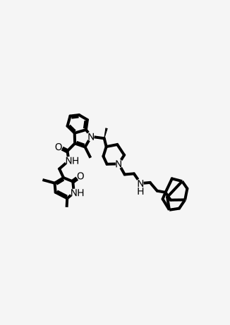 Cc1cc(C)c(CNC(=O)c2c(C)n([C@@H](C)C3CCN(CCNCCC45CC6CC(CC(C6)C4)C5)CC3)c3ccccc23)c(=O)[nH]1